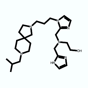 CC(C)CN1CCC2(CC1)CCN(CCCn1ccnc1CN(CCO)Cc1ncc[nH]1)C2